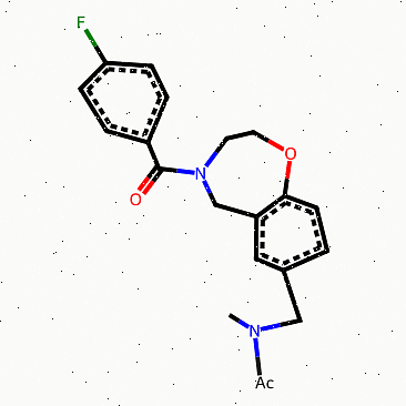 CC(=O)N(C)Cc1ccc2c(c1)CN(C(=O)c1ccc(F)cc1)CCO2